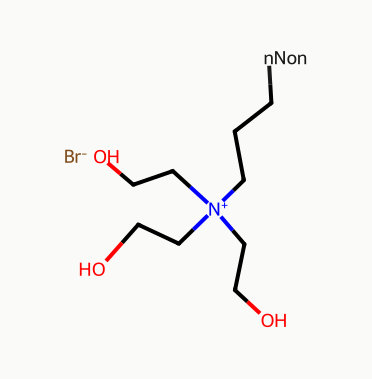 CCCCCCCCCCCC[N+](CCO)(CCO)CCO.[Br-]